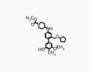 COC(=O)N1CCC(Nc2ccc(-c3cc(O)c(C)c(OC)c3)c(COC3CCCC3)c2)CC1